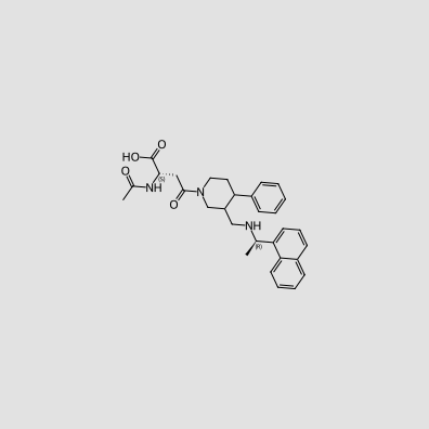 CC(=O)N[C@@H](CC(=O)N1CCC(c2ccccc2)C(CN[C@H](C)c2cccc3ccccc23)C1)C(=O)O